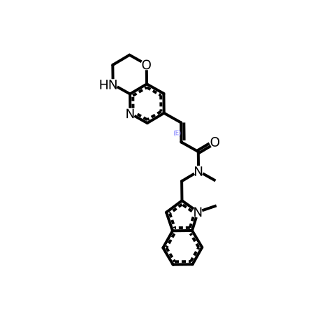 CN(Cc1cc2ccccc2n1C)C(=O)/C=C/c1cnc2c(c1)OCCN2